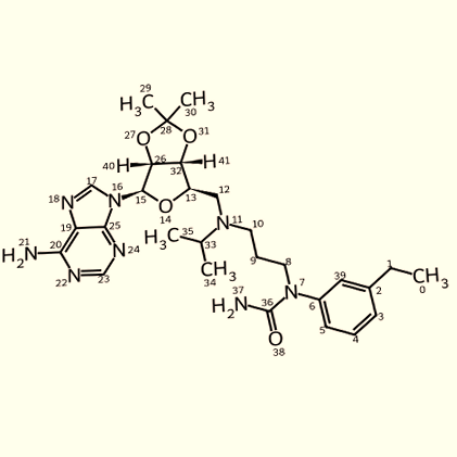 CCc1cccc(N(CCCN(C[C@H]2O[C@@H](n3cnc4c(N)ncnc43)[C@@H]3OC(C)(C)O[C@@H]32)C(C)C)C(N)=O)c1